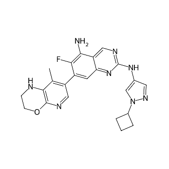 Cc1c(-c2cc3nc(Nc4cnn(C5CCC5)c4)ncc3c(N)c2F)cnc2c1NCCO2